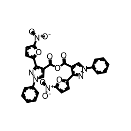 O=C(OC(=O)c1cn(-c2ccccc2)nc1-c1ccc([N+](=O)[O-])o1)c1cn(-c2ccccc2)nc1-c1ccc([N+](=O)[O-])o1